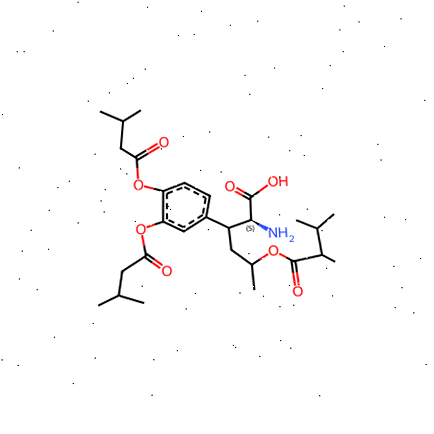 CC(C)CC(=O)Oc1ccc(C(CC(C)OC(=O)C(C)C(C)C)[C@H](N)C(=O)O)cc1OC(=O)CC(C)C